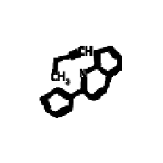 C#CCC.c1ccc(-c2ccc3ccccc3n2)cc1